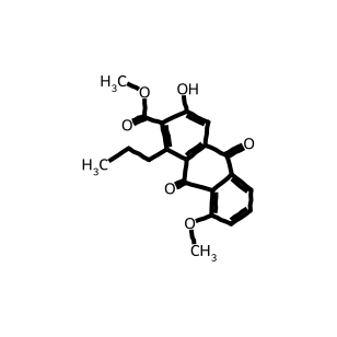 CCCc1c(C(=O)OC)c(O)cc2c1C(=O)c1c(OC)cccc1C2=O